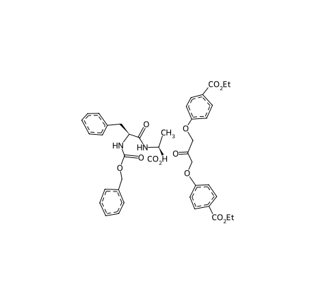 CCOC(=O)c1ccc(OCC(=O)COc2ccc(C(=O)OCC)cc2)cc1.C[C@H](NC(=O)[C@H](Cc1ccccc1)NC(=O)OCc1ccccc1)C(=O)O